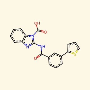 O=C(Nc1nc2ccccc2n1C(=O)O)c1cccc(-c2cccs2)c1